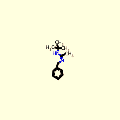 CC(=NCc1ccccc1)NC(C)(C)C